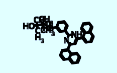 CC(C)(O)C(C)(C)OBc1cccc(C2N=C(c3cccc4ccccc34)C=C(c3cccc4ccccc34)N2)c1